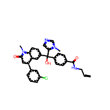 C=CCNC(=O)c1ccc(C(O)(c2ccc3c(c2)c(-c2cccc(Cl)c2)cc(=O)n3C)c2cncn2C)cc1